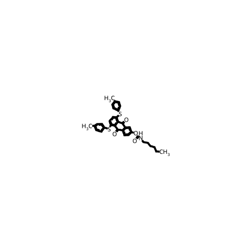 CCCCCCNC(=O)Oc1ccc2c(c1)C(=O)c1c(Sc3ccc(C)cc3)ccc(Sc3ccc(C)cc3)c1C2=O